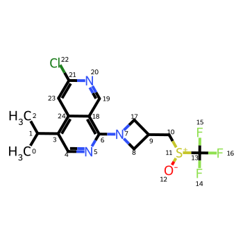 CC(C)c1cnc(N2CC(C[S+]([O-])C(F)(F)F)C2)c2cnc(Cl)cc12